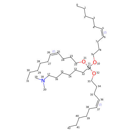 CCCCC/C=C\CCCO[Si](CCCCCCN(C)C)(OCCC/C=C\CCCCC)OCCC/C=C\CCCCC